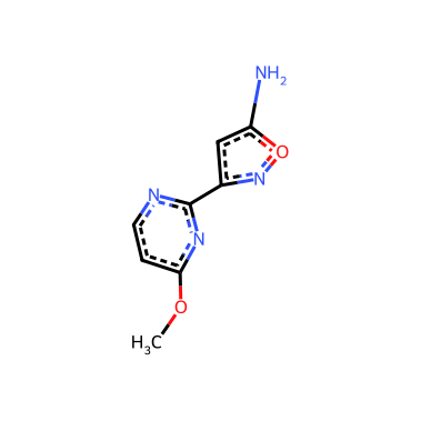 COc1ccnc(-c2cc(N)on2)n1